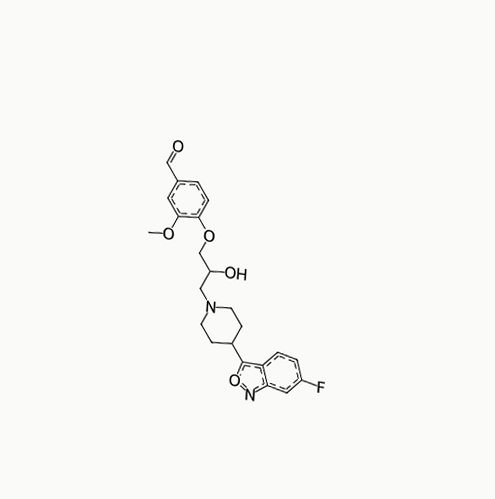 COc1cc(C=O)ccc1OCC(O)CN1CCC(c2onc3cc(F)ccc23)CC1